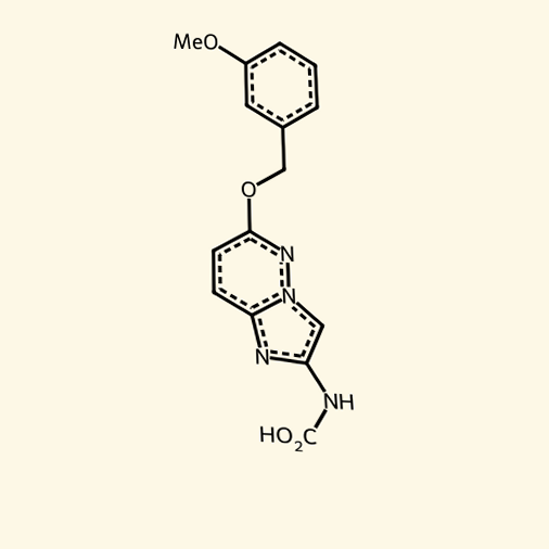 COc1cccc(COc2ccc3nc(NC(=O)O)cn3n2)c1